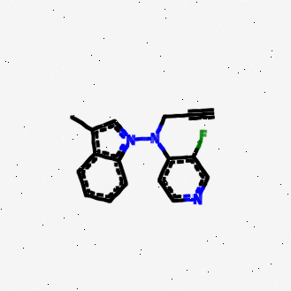 C#CCN(c1ccncc1F)n1cc(C)c2ccccc21